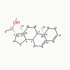 CC(O)[C@H]1CCC2C3CC=C4C=CCC[C@]4(C)C3CC[C@@]21C